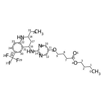 CCCCOC(=O)CCCOc1cnc(NC2CC(CC)Nc3ccc(C(F)(F)F)cc32)nc1